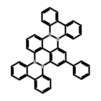 c1ccc(-c2cc3c4c(c2)N2B(c5ccccc5-c5ccccc52)c2cccc(c2-4)B2c4ccccc4-c4ccccc4N23)cc1